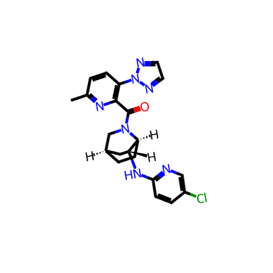 Cc1ccc(-n2nccn2)c(C(=O)N2C[C@@H]3CC[C@H]2[C@H](Nc2ccc(Cl)cn2)C3)n1